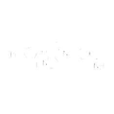 CCCc1ccc(Oc2nccc3c2C(=O)N(Cc2ccc(C(N)=O)cc2)C3)c(F)c1